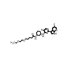 CCOCCOCCCCC(=O)N[C@@H]1CCC[C@H](Nc2nc(-c3c[nH]c4ncc(F)cc34)ncc2F)C1